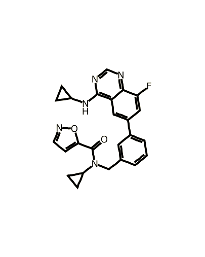 O=C(c1ccno1)N(Cc1cccc(-c2cc(F)c3ncnc(NC4CC4)c3c2)c1)C1CC1